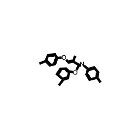 CC(=C\Oc1ccc(C)cc1)/C(=N/c1ccc(C)cc1)Oc1cccc(C)c1